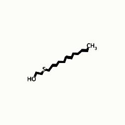 CC=CCCC=CCCC=CCSCCO